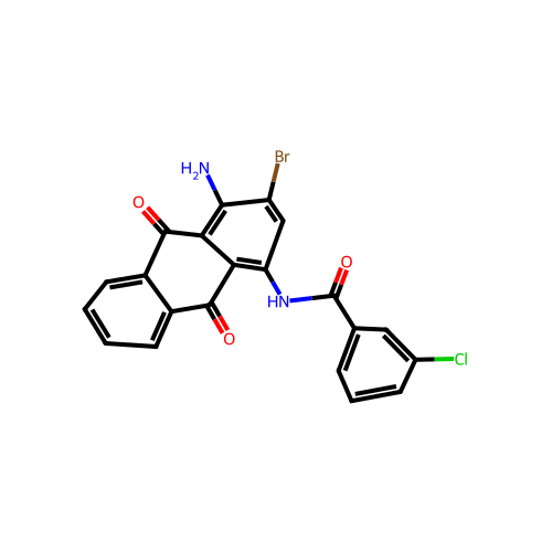 Nc1c(Br)cc(NC(=O)c2cccc(Cl)c2)c2c1C(=O)c1ccccc1C2=O